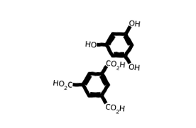 O=C(O)c1cc(C(=O)O)cc(C(=O)O)c1.Oc1cc(O)cc(O)c1